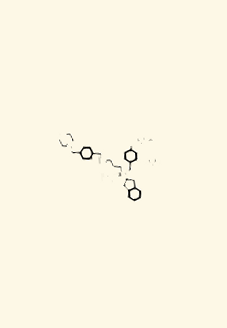 COc1ccc(C[N+](C)(CC(O)CNC(=O)c2ccc(C(=O)N3CCOCC3)cc2)C2Cc3ccccc3C2)c(OC)c1.[I-]